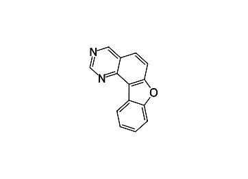 c1ccc2c(c1)oc1ccc3cncnc3c12